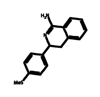 CSc1ccc(C2Cc3ccccc3C(N)=N2)cc1